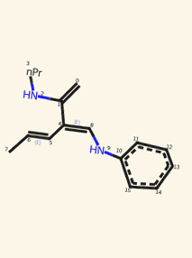 C=C(NCCC)C(/C=C/C)=C/Nc1ccccc1